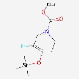 CC(C)(C)OC(=O)N1CCC(O[Si](C)(C)C)=C(F)C1